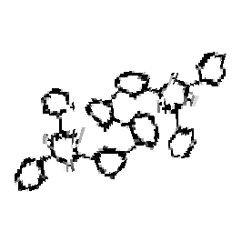 C1=CCCC(c2nc(C3=CCCC=C3)nc(-c3cccc(-c4ccccc4-c4ccccc4-c4cccc(-c5nc(-c6ccccc6)nc(-c6ccccn6)n5)c4)c3)n2)=C1